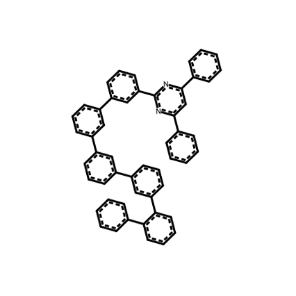 c1ccc(-c2cc(-c3ccccc3)nc(-c3cccc(-c4cccc(-c5cccc(-c6cccc(-c7ccccc7-c7ccccc7)c6)c5)c4)c3)n2)cc1